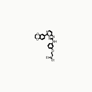 CCN(CC)CCOc1cccc(Nc2nc3ccnc(-c4ccc5c(c4)OCCO5)n3n2)c1